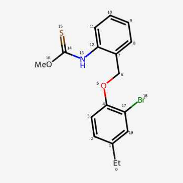 CCc1ccc(OCc2ccccc2NC(=S)OC)c(Br)c1